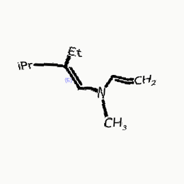 C=CN(C)/C=C(\CC)C(C)C